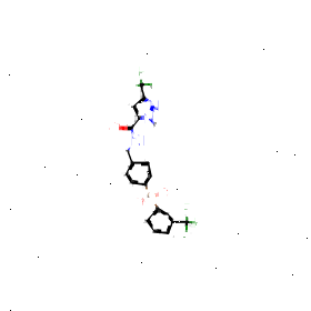 Cn1nc(C(F)(F)F)cc1C(=O)NCc1ccc(S(=O)(=O)c2cccc(C(F)(F)F)c2)cc1